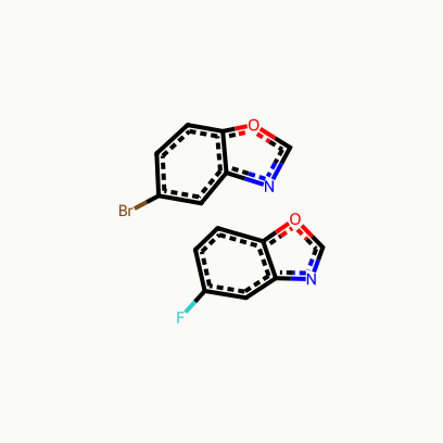 Brc1ccc2ocnc2c1.Fc1ccc2ocnc2c1